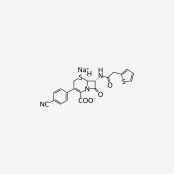 N#Cc1ccc(C2=C(C(=O)[O-])N3C(=O)[C@@H](NC(=O)Cc4cccs4)[C@@H]3SC2)cc1.[Na+]